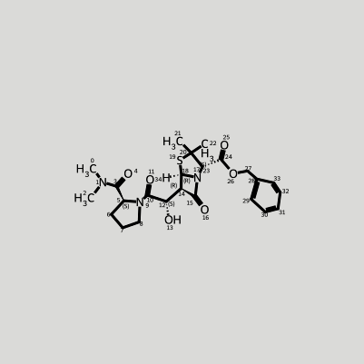 CN(C)C(=O)[C@@H]1CCCN1C(=O)[C@@H](O)[C@@H]1C(=O)N2[C@@H]1SC(C)(C)[C@@H]2C(=O)OCc1ccccc1